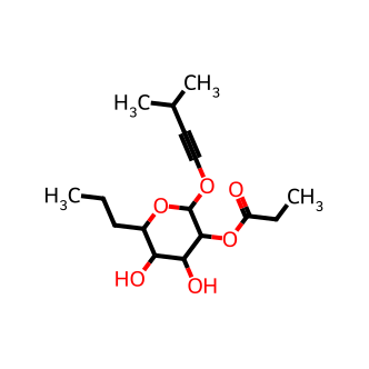 CCCC1OC(OC#CC(C)C)C(OC(=O)CC)C(O)C1O